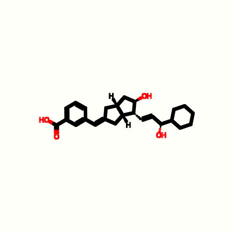 O=C(O)c1cccc(C=C2C[C@@H]3C[C@@H](O)[C@H](/C=C/[C@@H](O)C4CCCCC4)[C@@H]3C2)c1